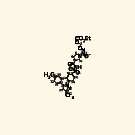 CCOC(=O)OCO/N=[N+](/[O-])N1CCC(C(=O)NS(=O)(=O)c2ccc(-n3nc(C(F)(F)F)cc3-c3ccc(C)cc3)cc2)C1